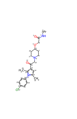 CCCNC(=O)COC1CCN(CC(=O)c2cc(C)n(-c3ccc(Cl)cc3)c2C)CC1